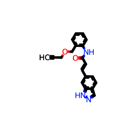 C#CCOCc1ccccc1NC(=O)/C=C/c1ccc2cn[nH]c2c1